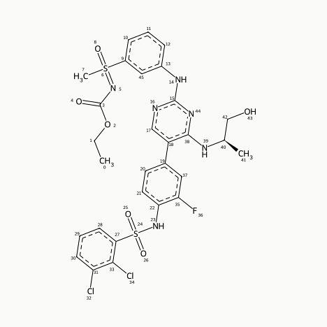 CCOC(=O)N=S(C)(=O)c1cccc(Nc2ncc(-c3ccc(NS(=O)(=O)c4cccc(Cl)c4Cl)c(F)c3)c(N[C@H](C)CO)n2)c1